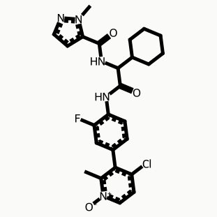 Cc1c(-c2ccc(NC(=O)C(NC(=O)c3ccnn3C)C3CCCCC3)c(F)c2)c(Cl)cc[n+]1[O-]